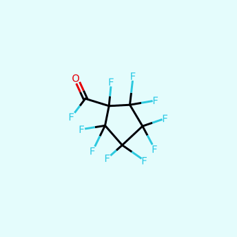 O=C(F)C1(F)C(F)(F)C(F)(F)C(F)(F)C1(F)F